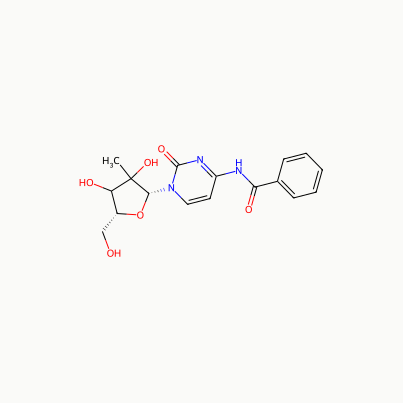 CC1(O)C(O)[C@@H](CO)O[C@H]1n1ccc(NC(=O)c2ccccc2)nc1=O